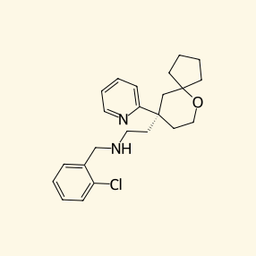 Clc1ccccc1CNCC[C@@]1(c2ccccn2)CCOC2(CCCC2)C1